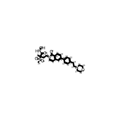 CC(CCn1ccc2cc(-c3ccc(CCN4CCOCC4)cc3)ccc2c1=O)(C(=O)NO)S(C)(=O)=O